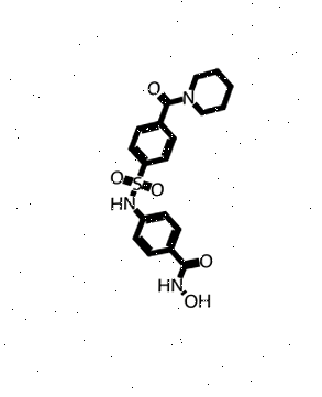 O=C(NO)c1ccc(NS(=O)(=O)c2ccc(C(=O)N3CCCCC3)cc2)cc1